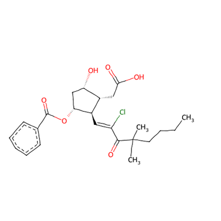 CCCCC(C)(C)C(=O)C(Cl)=C[C@@H]1[C@@H](CC(=O)O)[C@@H](O)C[C@H]1OC(=O)c1ccccc1